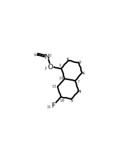 C=NOC1CCCC2CCC(F)CC21